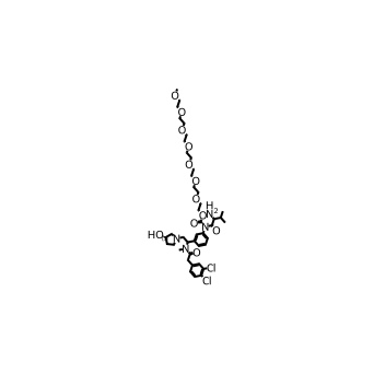 COCCOCCOCCOCCOCCOCCOCCOC(=O)N(C(=O)C(N)C(C)C)c1cccc(C(CN2CC[C@H](O)C2)N(C)C(=O)Cc2ccc(Cl)c(Cl)c2)c1